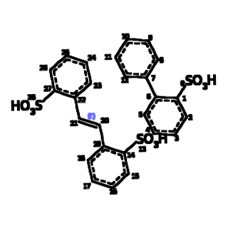 O=S(=O)(O)c1ccccc1-c1ccccc1.O=S(=O)(O)c1ccccc1/C=C/c1ccccc1S(=O)(=O)O